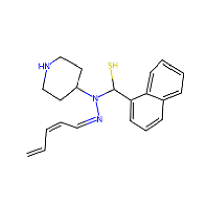 C=C/C=C\C=N/N(C1CCNCC1)C(S)c1cccc2ccccc12